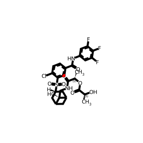 C[C@H](O)C(=O)O[C@@H](C)C(=O)NC[C@]1(O)C2CC1C[C@@H](S(=O)(=O)c1cc(C(=O)Nc3cc(F)c(F)c(F)c3)ccc1Cl)C2